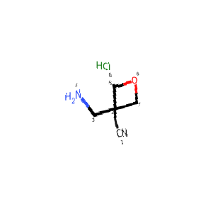 Cl.N#CC1(CN)COC1